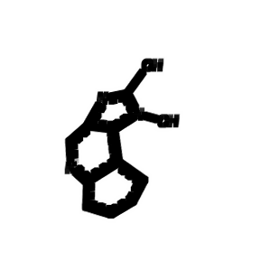 Oc1nc2cnc3ccccc3c2n1O